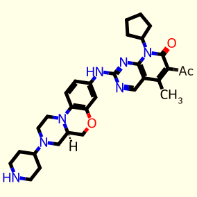 CC(=O)c1c(C)c2cnc(Nc3ccc4c(c3)OC[C@H]3CN(C5CCNCC5)CCN43)nc2n(C2CCCC2)c1=O